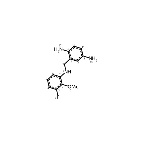 COc1c(F)cccc1NCc1cc(N)ccc1N